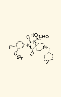 CCN1C(=O)N(c2ccc(F)c(OC(C)C)c2)C(=O)C12CCN(CC1CCOCC1)CC2.O=CO